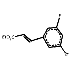 CCOC(=O)C=Cc1cc(F)cc(Br)c1